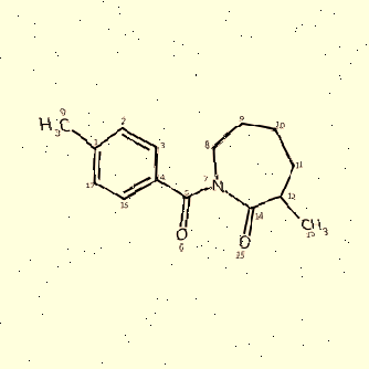 Cc1ccc(C(=O)N2CCCCC(C)C2=O)cc1